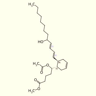 CCCCCCCCC(O)/C=C/C=C/[C@H]1CC=CC[C@@H]1C(CCCC(=O)OC)OC(C)=O